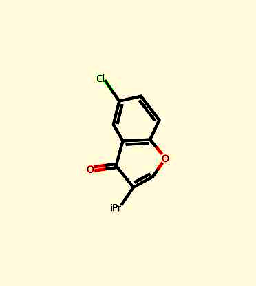 CC(C)c1coc2ccc(Cl)cc2c1=O